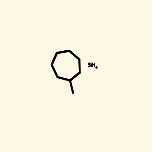 CC1CCCCCC1.[SiH4]